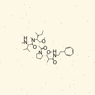 CCC(C)[C@@H]([C@@H](CC(=O)N1CCC[C@H]1C(OC)C(C)C(=O)NCCC1C=CC=CC=C1)OC)N(C)C(=O)[C@@H](NC)C(C)C